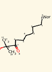 CCCCCCCCCCCCCCCC(=O)C(C)(O)C(F)(F)F